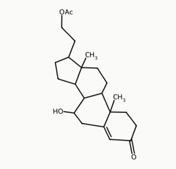 CC(=O)OCCC1CCC2C3C(O)CC4=CC(=O)CCC4(C)C3CCC12C